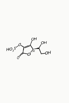 O=C1O[C@H](C(O)CO)C(O)=C1OS(=O)(=O)O